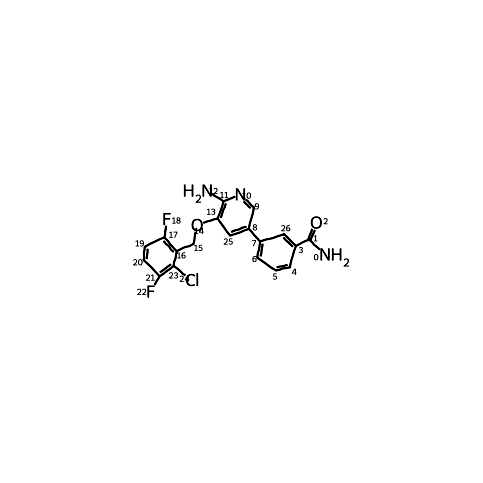 NC(=O)c1cccc(-c2cnc(N)c(OCc3c(F)ccc(F)c3Cl)c2)c1